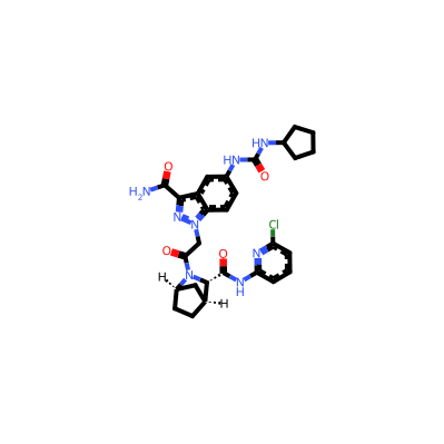 NC(=O)c1nn(CC(=O)N2[C@@H]3CC[C@@H](C3)[C@H]2C(=O)Nc2cccc(Cl)n2)c2ccc(NC(=O)NC3CCCC3)cc12